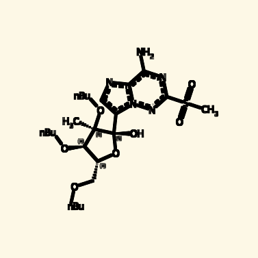 CCCCOC[C@H]1O[C@@](O)(c2cnc3c(N)nc(S(C)(=O)=O)nn23)[C@](C)(OCCCC)[C@@H]1OCCCC